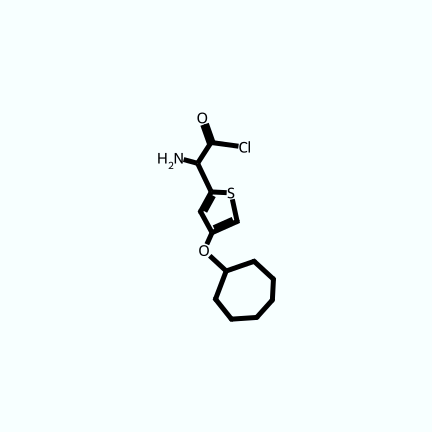 NC(C(=O)Cl)c1cc(OC2CCCCCC2)cs1